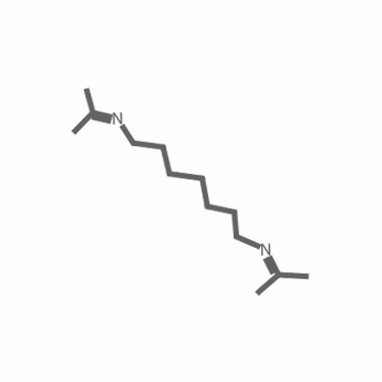 CC(C)=NCCCCCCCN=C(C)C